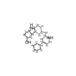 Oc1ccc2[nH]c3c(c2c1)CC(CC1CC(c2ccccc2)=CCN1)CC3